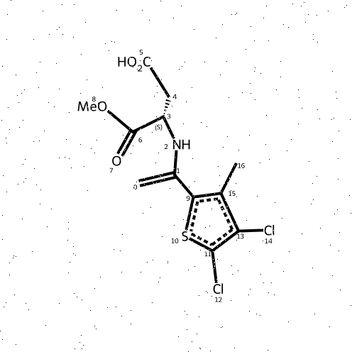 C=C(N[C@@H](CC(=O)O)C(=O)OC)c1sc(Cl)c(Cl)c1C